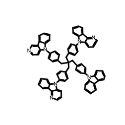 c1ccc2c(c1)c1ccccc1n2-c1ccc(CC(Cc2ccc(-n3c4ccccc4c4cnccc43)cc2)(Cc2ccc(-n3c4ccccc4c4ncccc43)cc2)Cc2ccc(-n3c4ccccc4c4ncccc43)cc2)cc1